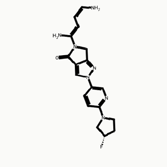 N/C=C\C=C(/N)N1Cc2nn(-c3ccc(N4CC[C@H](F)C4)nc3)cc2C1=O